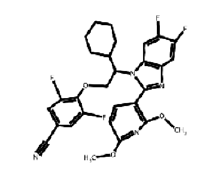 COc1ccc(-c2nc3cc(F)c(F)cc3n2C(COc2c(F)cc(C#N)cc2F)C2CCCCC2)c(OC)n1